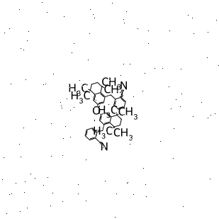 CC1(C)CCC(C)(C)c2c(Cc3ccccc3C#N)cc(Oc3cc(Cc4ccccc4C#N)c4c(c3)C(C)(C)CCC4(C)C)cc21